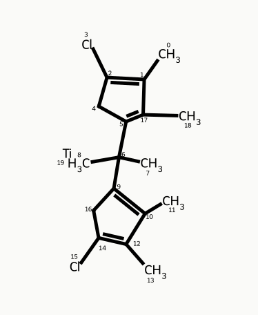 CC1=C(Cl)CC(C(C)(C)C2=C(C)C(C)=C(Cl)C2)=C1C.[Ti]